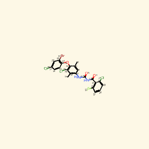 Cc1cc(NC(=O)NC(=O)c2c(F)cccc2Cl)c(C)c(Cl)c1Oc1ccc(Cl)cc1Br